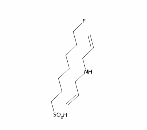 C=CCNCC=C.O=S(=O)(O)CCCCCCCF